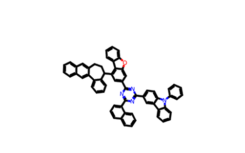 c1ccc(-n2c3ccccc3c3cc(-c4nc(-c5cc(C6CCc7cc8ccccc8cc7-c7ccccc76)c6c(c5)oc5ccccc56)nc(-c5cccc6ccccc56)n4)ccc32)cc1